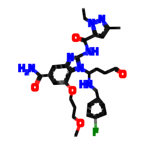 CCn1nc(C)cc1C(=O)Nc1nc2cc(C(N)=O)cc(OCCCOC)c2n1C(CCC=O)NCc1ccc(F)cc1